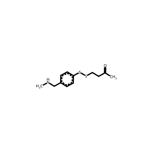 CNCc1ccc(SSCCC(C)=O)cc1